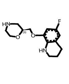 Fc1cc2c(c(OC[C@@H]3CNCCO3)c1)NCCC2